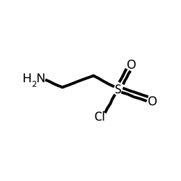 NCCS(=O)(=O)Cl